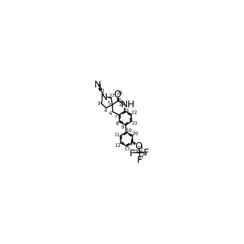 N#CN1CCC2(Cc3cc(-c4cccc(OC(F)(F)F)c4)ccc3NC2=O)C1